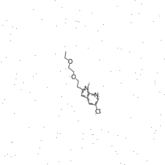 CCOCCOCCc1cc2cc(Cl)cnc2n1C